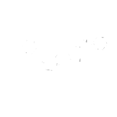 CCCC(NC(=O)C(Cc1ccc(O)cc1)NC(C)=O)C(=O)NC(Cc1ccccc1)C(N)=O